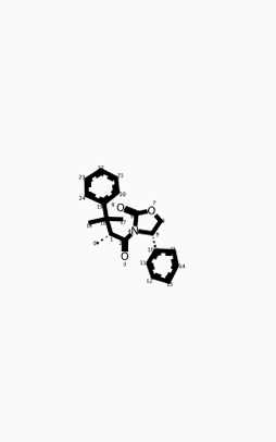 C[C@@H](C(=O)N1C(=O)OC[C@@H]1c1ccccc1)C(C)(C)c1ccccc1